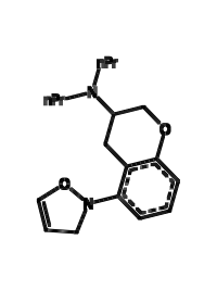 CCCN(CCC)C1COc2cccc(N3CC=CO3)c2C1